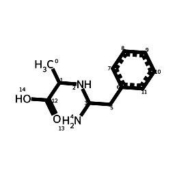 CC(NC(N)Cc1ccccc1)C(=O)O